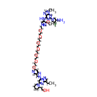 CCc1cnn2c(NCc3ccc(OCCOCCOCCOCCOCCOCCOCCn4cc(Nc5nc(N6C[C@@H](N)[C@H](F)C6)nc6c5ncn6C)c(OC)n4)nc3)cc(N3CCCC[C@@H]3CCO)nc12